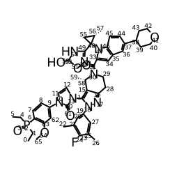 CCP(=O)(CC)c1ccc(-n2ccn(-c3c4c(nn3-c3cc(C)c(F)c(C)c3)CCN(C(=O)c3cc5cc(C6CCOCC6)ccc5n3[C@@]3(C5=NOC(O)N5)C[C@@H]3C)[C@H]4C)c2=O)cc1OC